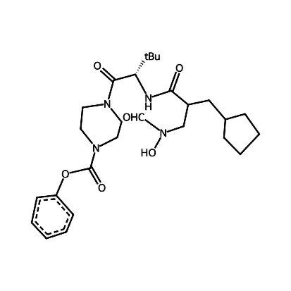 CC(C)(C)[C@H](NC(=O)C(CC1CCCC1)CN(O)C=O)C(=O)N1CCN(C(=O)Oc2ccccc2)CC1